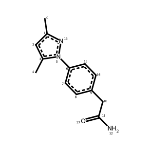 Cc1cc(C)n(-c2ccc(CC(N)=O)cc2)n1